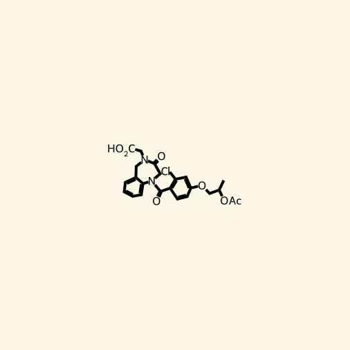 CC(=O)OC(C)COc1ccc(C(=O)N2CC(=O)N(CC(=O)O)Cc3ccccc32)c(Cl)c1